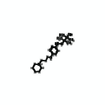 CC(C)(O)C(C)(C)OBc1ccc(OCCCN2CCCCC2)nc1